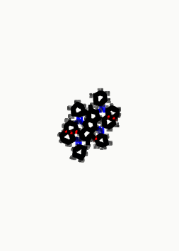 Cc1c(N(c2ccccc2)c2ccccc2)c(C)c2c(N(c3ccccc3)c3ccccc3)c3c(C)c(C)c(N(c4ccccc4)c4ccccc4)c(C)c3c(N(c3ccccc3)c3ccccc3)c2c1C